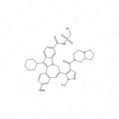 COc1ccc2c(c1)C=C(c1c(C(=O)N3CCN4CCCC4C3)cnn1C)Cn1c-2c(C2CCCCC2)c2ccc(C(=O)NS(=O)(=O)CC(C)C)cc21